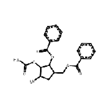 BC1CC(COC(=O)c2ccccc2)C(OC(=O)c2ccccc2)C1OC(C)=O